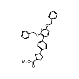 COC(=O)C1CCN(c2ccc(-c3ccc(OCc4ccccc4)nc3OCc3ccccc3)cc2)C1